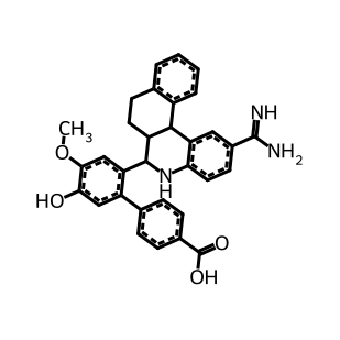 COc1cc(C2Nc3ccc(C(=N)N)cc3C3c4ccccc4CCC23)c(-c2ccc(C(=O)O)cc2)cc1O